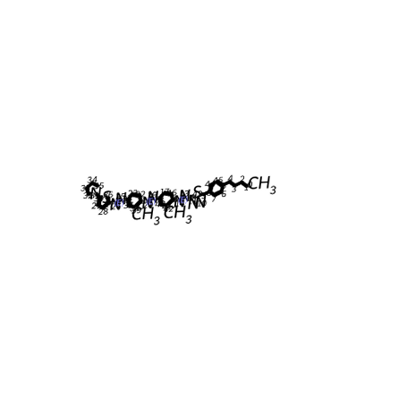 CCCCCc1ccc(-c2nnc(/N=N/c3ccc(/N=N/c4ccc(/N=N/c5ccc(N6CCCC6)s5)cc4C)cc3C)s2)cc1